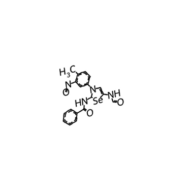 Cc1ccc(N2C=C(NC=O)[Se]C2NC(=O)c2ccccc2)cc1N=O